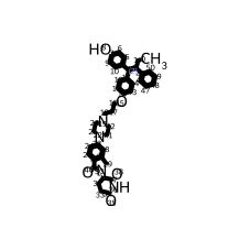 CC/C(=C(\c1ccc(O)cc1)c1ccc(OCCCN2CCN(c3ccc4c(c3)CN(C3CCC(=O)NC3=O)C4=O)CC2)cc1)c1ccccc1